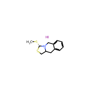 CS[C@H]1SCC2Cc3ccccc3CN21.I